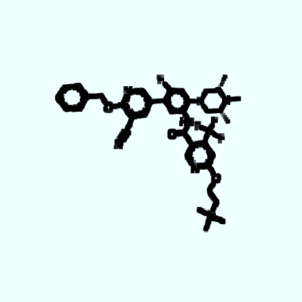 C[C@@H]1CN(c2cc(F)c(-c3cnc(OCc4ccccc4)c(C#N)c3)cc2NC(=O)c2cnc(OCC[Si](C)(C)C)cc2C(F)(F)F)C[C@H](C)N1C